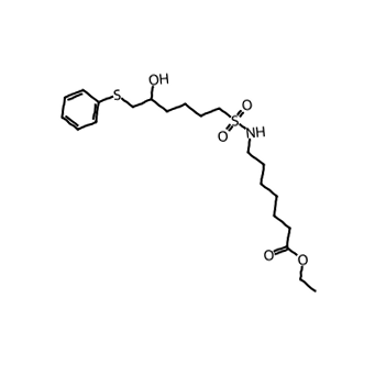 CCOC(=O)CCCCCCNS(=O)(=O)CCCCC(O)CSc1ccccc1